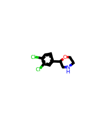 Clc1ccc(C2CNCCO2)cc1Cl